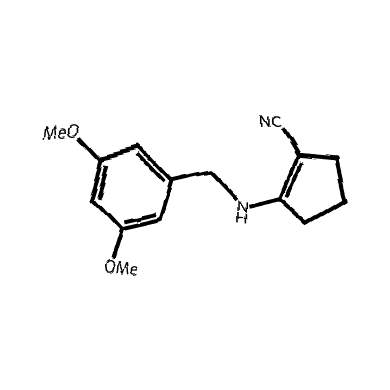 COc1cc(CNC2=C(C#N)CCC2)cc(OC)c1